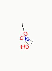 CCCCOC(=O)N1CCC[C@H](O)C1